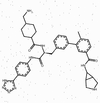 Cc1ccc(C(=O)NC2C3CNCC32)cc1-c1cccc(C[C@H](NC(=O)C2CCC(CN)CC2)C(=O)Nc2ccc(-c3nnn[nH]3)cc2)c1